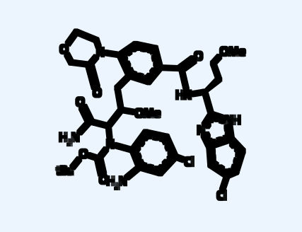 COCC[C@H](NC(=O)c1ccc(N2CCOCC2=O)c(CC(OC)C(C(N)=O)N(C(=O)OC(C)(C)C)c2ccc(Cl)cc2N)c1)c1nc2cc(Cl)ccc2[nH]1